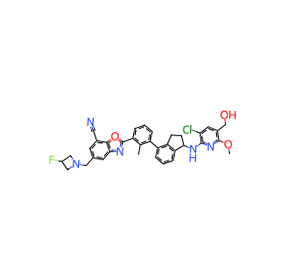 COc1nc(NC2CCc3c(-c4cccc(-c5nc6cc(CN7CC(F)C7)cc(C#N)c6o5)c4C)cccc32)c(Cl)cc1CO